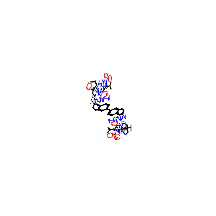 COC(=O)N[C@H](C(=O)N1C[C@]2(CCCOC2)C[C@H]1c1nc2ccc3cc(-c4ccc5c(ccc6nc([C@@H]7C[C@@H]8CCC[C@@H]8N7C(=O)[C@@H](NC(=O)OC)C(C)C)[nH]c65)c4)ccc3c2[nH]1)C(C)C